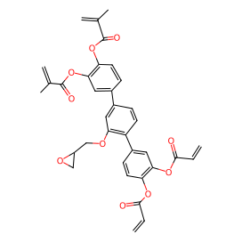 C=CC(=O)Oc1ccc(-c2ccc(-c3ccc(OC(=O)C(=C)C)c(OC(=O)C(=C)C)c3)cc2OCC2CO2)cc1OC(=O)C=C